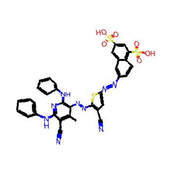 Cc1c(C#N)c(Nc2ccccc2)nc(Nc2ccccc2)c1N=Nc1sc(N=Nc2ccc3c(S(=O)(=O)O)cc(S(=O)(=O)O)cc3c2)cc1C#N